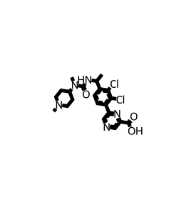 CC(NC(=O)N(C)C1CCN(C)CC1)c1ccc(-c2cncc(C(=O)O)n2)c(Cl)c1Cl